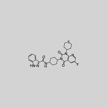 O=C(NC1CCC(n2c(=O)c3cc(F)cnc3n(C3CCSCC3)c2=O)CC1)c1n[nH]c2ccccc12